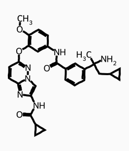 COc1ccc(NC(=O)c2cccc(C(C)(N)CC3CC3)c2)cc1Oc1ccc2nc(NC(=O)C3CC3)cn2n1